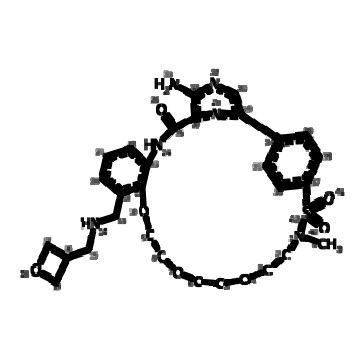 CN1CCOCCOCCOc2c(CNCC3COC3)cccc2NC(=O)c2nc(cnc2N)-c2ccc(cc2)S1(=O)=O